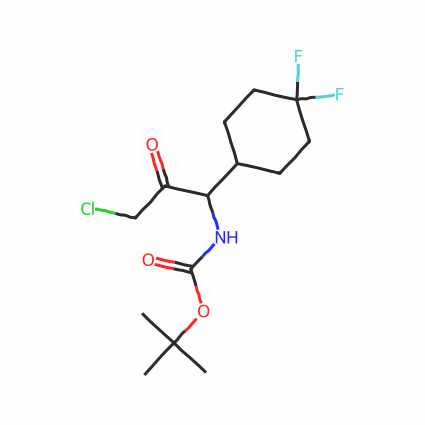 CC(C)(C)OC(=O)NC(C(=O)CCl)C1CCC(F)(F)CC1